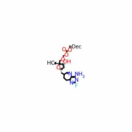 C#C[C@]1(COCOC(=O)OCCCCCCCCCC)O[C@@H](CC2C=Nc3c(N)nc(F)nc3CC2)C[C@@H]1O